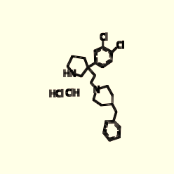 Cl.Cl.Clc1ccc(C2(CCN3CCC(Cc4ccccc4)CC3)CCCNC2)cc1Cl